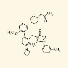 COc1ccc([C@H]2CC[C@H](CC(C)=O)CC2)cc1-c1ccc(N2CCC2)nc1CN1C(=O)O[C@H](c2cccc(C)c2)C1C